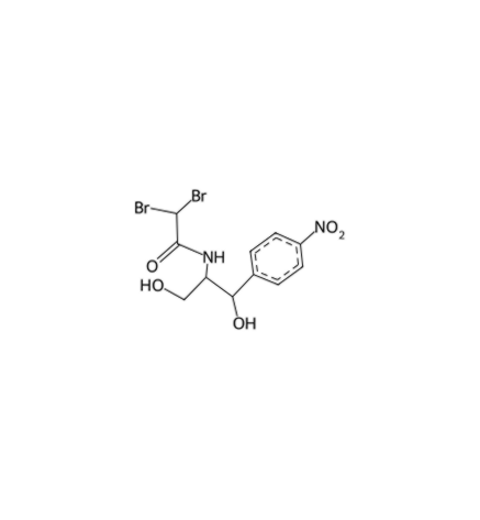 O=C(NC(CO)C(O)c1ccc([N+](=O)[O-])cc1)C(Br)Br